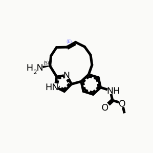 COC(=O)Nc1ccc2c(c1)CCC/C=C/CC[C@H](N)c1nc-2c[nH]1